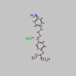 CCO[C@@H](Cc1ccc(OCCCc2ccc(N)cc2)cc1)C(=O)O.Cl